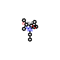 C[C@@]12CC=CC=C1c1ccccc1-c1ccc(-c3cc4c5ccccc5oc4c4c5ccccc5n(-c5nc(-c6ccccc6)nc(-c6ccc(-c7ccccc7)cc6)n5)c34)cc12